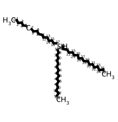 CCCCCCCCCCCCCCCCCC[SiH](CCCCCCCCCCCCCCCCCC)CCCCCCCCCCCCCCCCCC